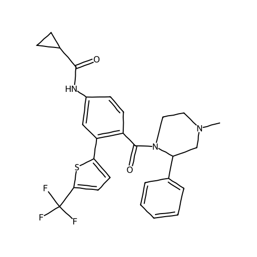 CN1CCN(C(=O)c2ccc(NC(=O)C3CC3)cc2-c2ccc(C(F)(F)F)s2)C(c2ccccc2)C1